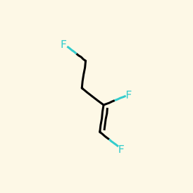 F/C=C(\F)CCF